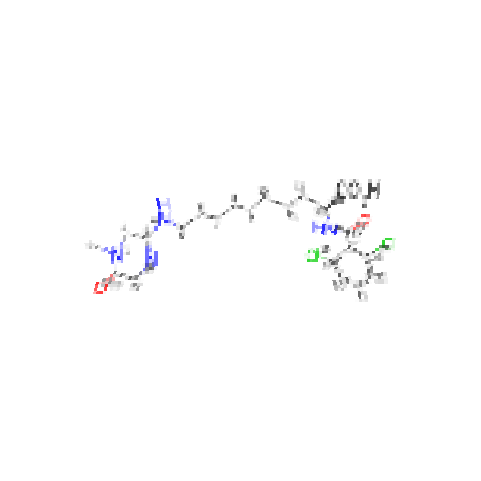 CN1CC(NCCCCCCCC[C@H](NC(=O)c2c(Cl)cccc2Cl)C(=O)O)=NCC1=O